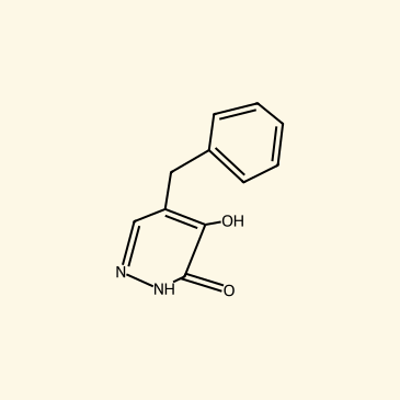 O=c1[nH]ncc(Cc2ccccc2)c1O